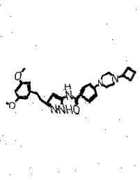 COc1cc(CCc2cc(NC(=O)c3ccc(N4CCN(C5CCC5)CC4)cc3)[nH]n2)cc(OC)c1